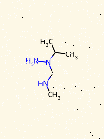 CNCN(N)C(C)C